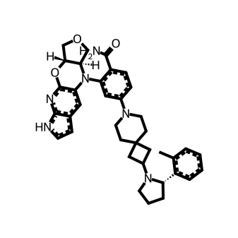 Cc1ccccc1[C@@H]1CCCN1C1CC2(CCN(c3ccc(C(N)=O)c(N4c5cc6cc[nH]c6nc5O[C@@H]5COC[C@H]54)c3)CC2)C1